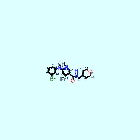 CC(C)c1cc(N(C)c2cccc(Br)c2)ncc1C(=O)NCC1CCOCC1